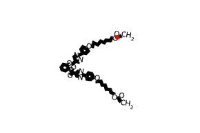 C=CC(=O)OCCCCCCCCOc1ccc(-c2ncc(C(=O)O[C@@H]3CCCC[C@H]3OC(=O)c3cnc(-c4ccc(OCCCCCCCCOC(=O)C=C)cc4)nc3)cn2)cc1